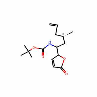 C=CC[C@H](C)CC(NC(=O)OC(C)(C)C)C1C=CC(=O)O1